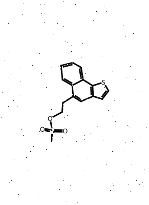 CS(=O)(=O)OCCc1cc2ccsc2c2ccccc12